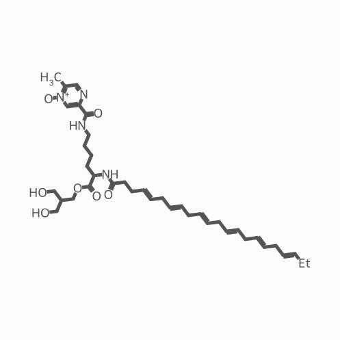 CCC=CCC=CCC=CCC=CCC=CCC=CCCC(=O)NC(CCCCNC(=O)c1c[n+]([O-])c(C)cn1)C(=O)OCC(CO)CO